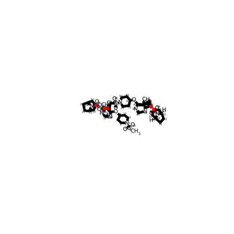 Cc1c(OC2CCN(S(C)(=O)=O)CC2)ncnc1OC1CC2CCC(C1)N2C(=O)OC(C)(C)CCS(=O)(=O)N1CCC(Oc2ncnc(O[C@@H]3C[C@H]4CC[C@@H](C3)N4S(=O)(=O)C3CC3)c2C)CC1